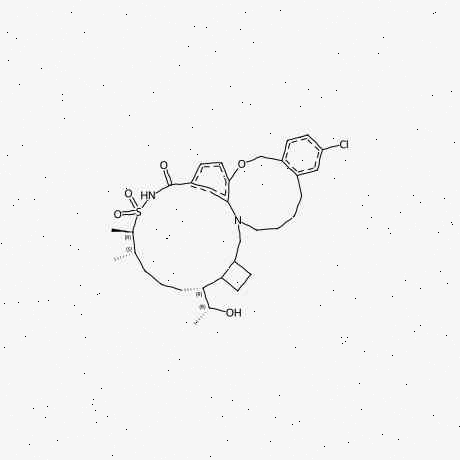 C[C@@H]1[C@@H](C)CCC[C@@H]([C@@H](C)O)C2CCC2CN2CCCCc3cc(Cl)ccc3COc3ccc(cc32)C(=O)NS1(=O)=O